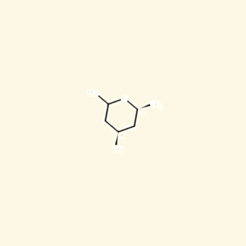 C[C@H]1C[C@@H](O)CC(O)O1